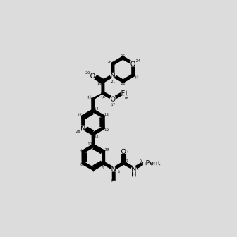 CCCCCNC(=O)N(C)c1cccc(-c2ccc(C[C@H](OCC)C(=O)N3CCOCC3)cn2)c1